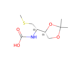 CSC[C@@H](NC(=O)O)[C@H]1COC(C)(C)O1